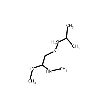 CNC(CN[SiH2]C(C)C)NC